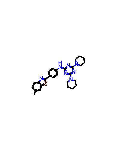 Cc1ccc2nc(-c3ccc(Nc4nc(N5CCCCC5)nc(N5CCCCC5)n4)cc3)sc2c1